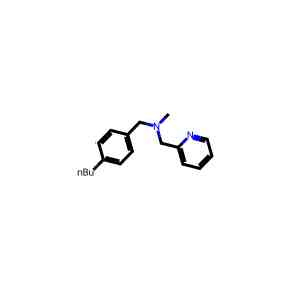 CCCCc1[c]cc(CN(C)Cc2ccccn2)cc1